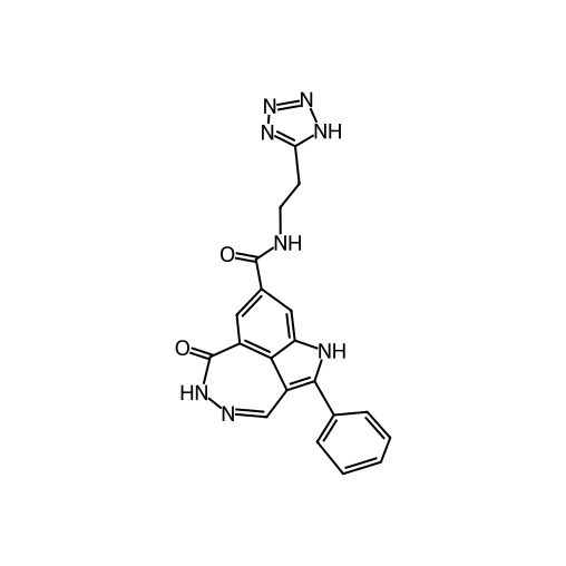 O=C(NCCc1nnn[nH]1)c1cc2c3c(c(-c4ccccc4)[nH]c3c1)C=NNC2=O